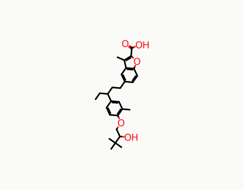 CCC(CCc1ccc2oc(C(=O)O)c(C)c2c1)c1ccc(OCC(O)C(C)(C)C)c(C)c1